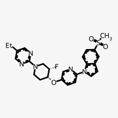 CCc1cnc(N2CC[C@@H](Oc3ccc(-n4ccc5cc(S(C)(=O)=O)ccc54)nc3)[C@@H](F)C2)nc1